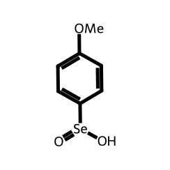 COc1ccc([Se](=O)O)cc1